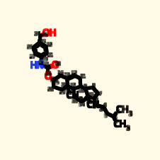 CC(C)CCCC1CCC2C3CC=C4C[C@H](OC(=O)Nc5ccc(CO)cc5)CC[C@@]4(C)C3CC[C@@]12C